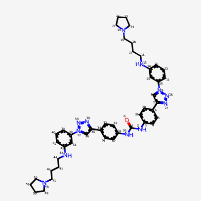 O=C(Nc1ccc(-c2cn(-c3cccc(NCCCCN4CCCC4)c3)nn2)cc1)Nc1ccc(-c2cn(-c3cccc(NCCCCN4CCCC4)c3)nn2)cc1